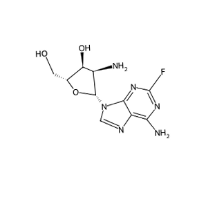 Nc1nc(F)nc2c1ncn2[C@@H]1O[C@H](CO)[C@@H](O)[C@H]1N